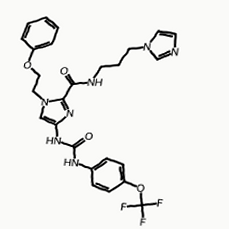 O=C(Nc1ccc(OC(F)(F)F)cc1)Nc1cn(CCOc2ccccc2)c(C(=O)NCCCn2ccnc2)n1